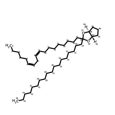 CCCCC/C=C\C/C=C\CCCCCCCCC1(CCCCCCCCCCCCCCCCCC)O[C@H]2CCC[C@@H]2O1